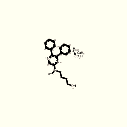 CC(=O)O.CC(C)N(CCCCO)c1cnc(-c2ccccc2)c(-c2ccccc2)n1.[CaH2]